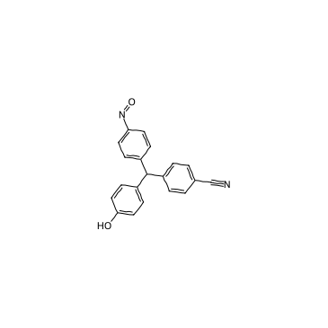 N#Cc1ccc(C(c2ccc(O)cc2)c2ccc(N=O)cc2)cc1